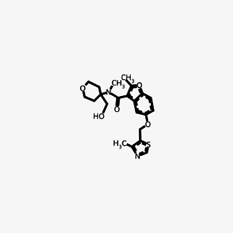 Cc1ncsc1COc1ccc2oc(C)c(C(=O)N(C)C3(CO)CCOCC3)c2c1